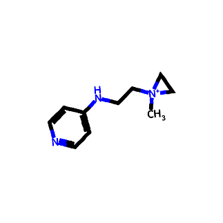 C[N+]1(CCNc2ccncc2)CC1